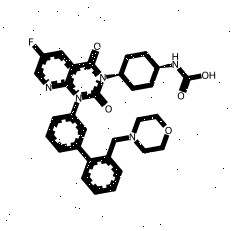 O=C(O)N[C@H]1CC[C@@H](n2c(=O)c3cc(F)cnc3n(-c3cccc(-c4ccccc4CN4CCOCC4)c3)c2=O)CC1